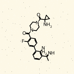 CC(=N)c1cccc(-c2ccc(C(=O)N3CCN(C(=O)C4(N)CC4)CC3)c(F)c2)c1N